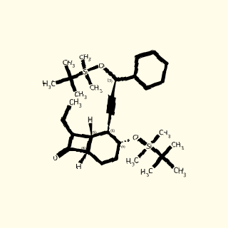 CCC1C(=O)[C@H]2CC[C@@H](O[Si](C)(C)C(C)(C)C)[C@H](C#C[C@@H](O[Si](C)(C)C(C)(C)C)C3CCCCC3)[C@@H]12